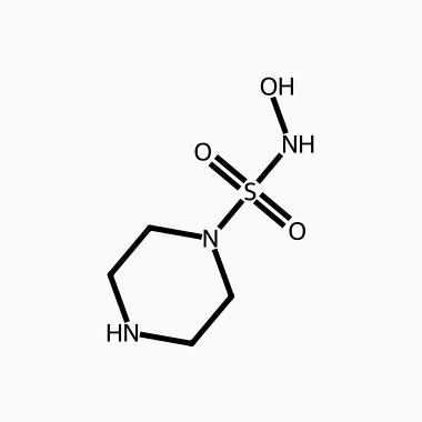 O=S(=O)(NO)N1CCNCC1